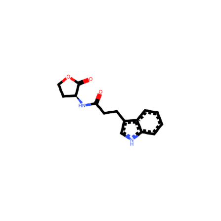 O=C(CCc1c[nH]c2ccccc12)N[C@H]1CCOC1=O